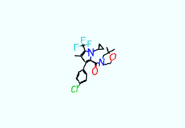 Cc1c(-c2ccc(Cl)cc2)c(C(=O)N2CCOC(C)(C)C2)n(C2CC2)c1C(F)(F)F